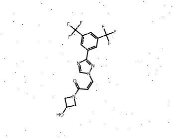 O=C(/C=C\n1cnc(-c2cc(C(F)(F)F)cc(C(F)(F)F)c2)n1)N1CC(O)C1